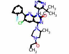 C=CC(=O)N1CCN(c2nc(=O)n(-c3cncnc3C(C)(C)C)c3nc(-c4ccccc4F)c(Cl)cc23)C(C)C1